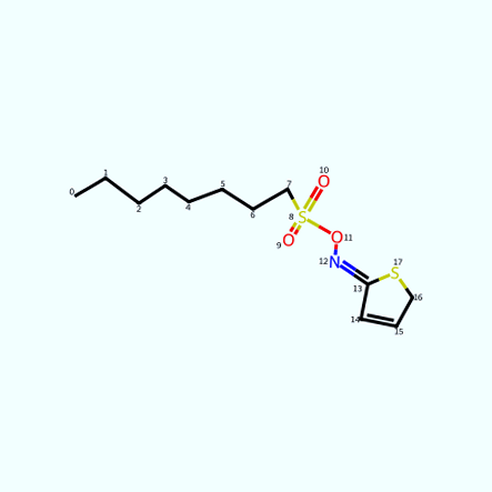 CCCCCCCCS(=O)(=O)ON=C1C=CCS1